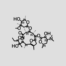 CC[C@@H](O)[C@@](C)(O)[C@@H]1OC(=O)[C@H](C)[C@@H](O[C@H]2C[C@@](C)(OC)[C@@H](O)[C@H](C)O2)[C@H](C)[C@@H](O[C@@H]2O[C@H](C)C[C@H](N(C)C)[C@H]2O)[C@@]2(C)CC(C)=C(O2)[C@@H]1C